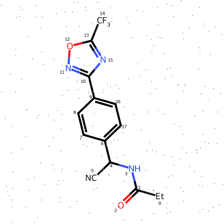 CCC(=O)NC(C#N)c1ccc(-c2noc(C(F)(F)F)n2)cc1